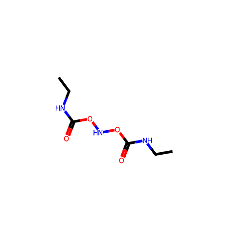 CCNC(=O)ONOC(=O)NCC